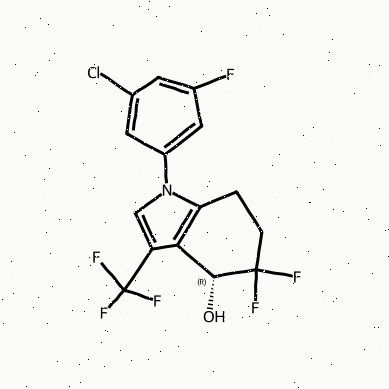 O[C@@H]1c2c(C(F)(F)F)cn(-c3cc(F)cc(Cl)c3)c2CCC1(F)F